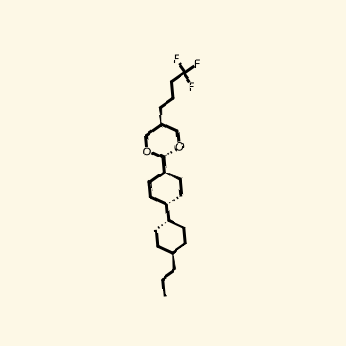 CCC[C@H]1CC[C@H]([C@H]2CC[C@H]([C@H]3OC[C@H](CCCC(F)(F)F)CO3)CC2)CC1